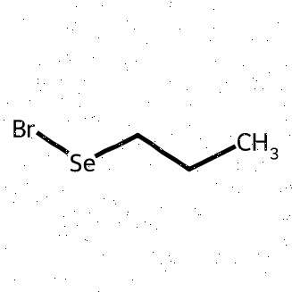 CCC[Se]Br